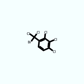 Clc1ccc(C(Cl)(Cl)Br)c(Cl)c1Cl